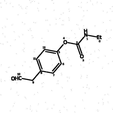 CCNC(=O)Oc1ccc(CC=O)cc1